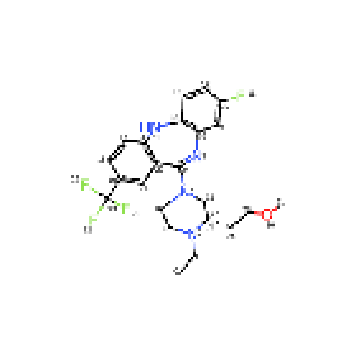 CCN1CCN(C2=Nc3cc(F)ccc3Nc3ccc(C(F)(F)F)cc32)C[C@@H]1CCOC